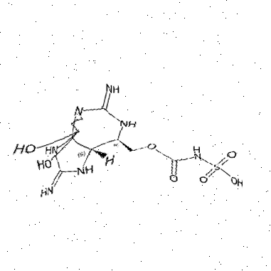 N=C1N[C@H]2[C@H](COC(=O)NS(=O)(=O)O)NC(=N)N3CCC(O)(O)C23N1